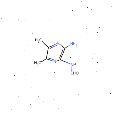 Cc1nc(N)c(NC=O)nc1C